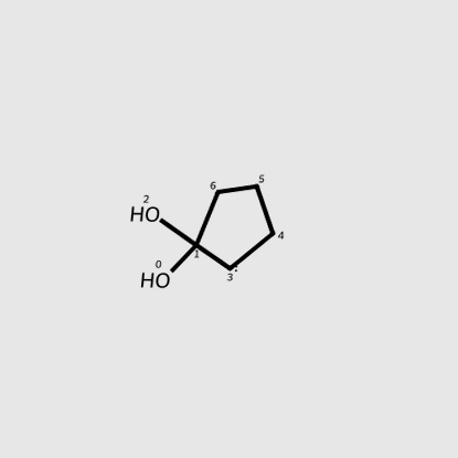 OC1(O)[C]CCC1